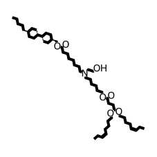 CC/C=C\CCCCOC(CCC(=O)OCCCCCCN(CCO)CCCCCCCC(=O)OC[C@H]1CC[C@H]([C@H]2CC[C@H](CCCCC)CC2)CC1)OCCCC/C=C\CC